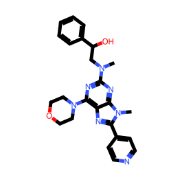 CN(CC(O)c1ccccc1)c1nc(N2CCOCC2)c2nc(-c3ccncc3)n(C)c2n1